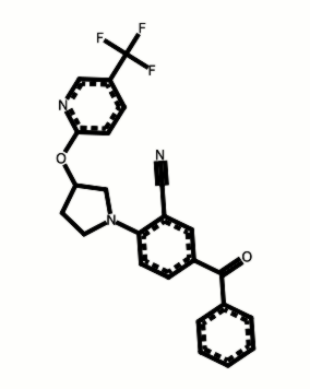 N#Cc1cc(C(=O)c2ccccc2)ccc1N1CCC(Oc2ccc(C(F)(F)F)cn2)C1